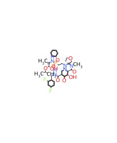 CC(C)OC(O)[C@H](C)NP(=O)(CCN1n2cc(C(=O)NCc3ccc(F)cc3F)c(=O)c(O)c2C(=O)N(C)[C@@]12CCOC2)Oc1ccccc1